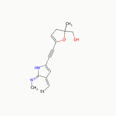 CC/C=C1/C=C(C#CC2=CCC(C)(CO)O2)N/C1=N/C